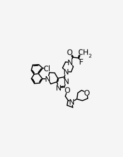 C=C(F)C(=O)N1CCN(c2nc(OCC3CCN3C3CCOCC3)nc3c2CCN(c2cccc4cccc(Cl)c24)C3)CC1